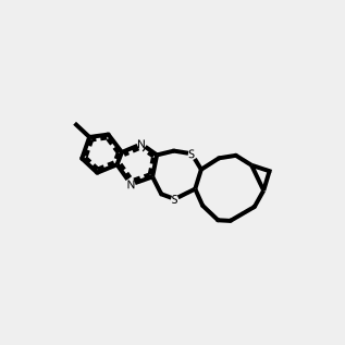 Cc1ccc2nc3c(nc2c1)CSC1CCC2CC2CCCCC1SC3